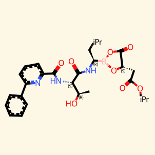 CC(C)C[C@H](NC(=O)[C@@H](NC(=O)c1cccc(-c2ccccc2)n1)[C@@H](C)O)B1OC(=O)[C@H](CC(=O)OC(C)C)O1